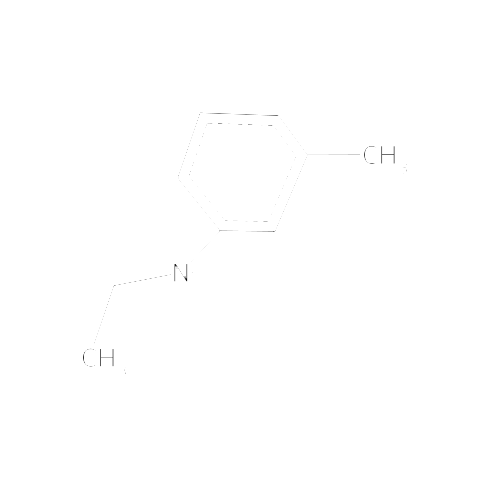 CC[N]c1cccc(C)c1